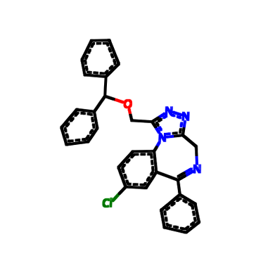 Clc1ccc2c(c1)C(c1ccccc1)=NCc1nnc(COC(c3ccccc3)c3ccccc3)n1-2